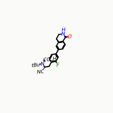 CC(C)(C)N(C(=O)O)[C@H](C#N)Cc1ccc(-c2ccc3c(c2)CCNC3=O)cc1F